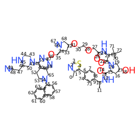 Cc1ncsc1-c1ccc([C@H](C)NC(=O)[C@@H]2C[C@@H](O)CN2C(=O)C(NC(=O)COCCO[C@@H]2C[C@@H](COc3nc4c(c(N5CCNC(CC#N)C5)n3)CCN(c3cccc5ccccc35)C4)N(C)C2)C(C)(C)C)cc1